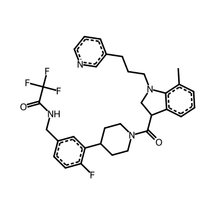 Cc1cccc2c1N(CCCc1cccnc1)CC2C(=O)N1CCC(c2cc(CNC(=O)C(F)(F)F)ccc2F)CC1